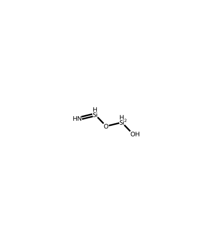 N=[SiH]O[SiH2]O